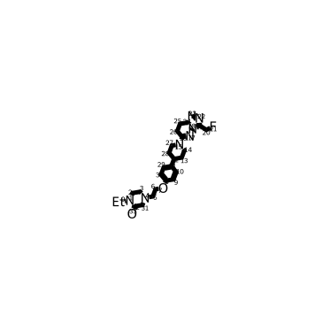 CCN1CCN(CCOc2ccc(C3CCN(C4=Nn5c(CF)nnc5CC4)CC3)cc2)CC1=O